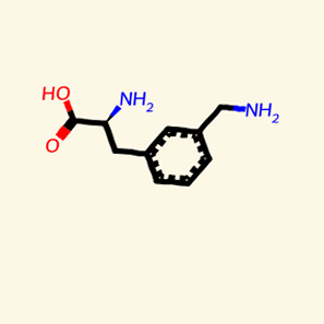 NCc1cccc(C[C@H](N)C(=O)O)c1